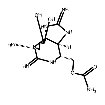 CCC[C@H]1CC(O)(O)[C@]23NC(=N)N[C@H]2[C@H](COC(N)=O)NC(=N)N13